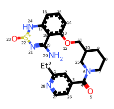 CCc1cc(C(=O)N2CCCC(COc3cccc4c3C(N)=N[S+]([O-])N4)C2)ccn1